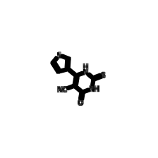 N#Cc1c(-c2ccsc2)[nH]c(=S)[nH]c1=O